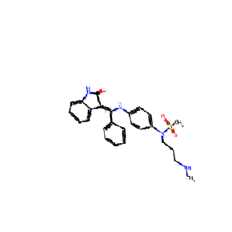 CNCCCN(c1ccc(N/C(=C2\C(=O)Nc3ccccc32)c2ccccc2)cc1)S(C)(=O)=O